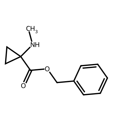 CNC1(C(=O)OCc2ccccc2)CC1